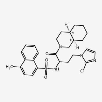 Cc1ccc(S(=O)(=O)NC(CCn2ccnc2Cl)C(=O)N2CC[C@H]3CCCC[C@H]3C2)c2ccccc12